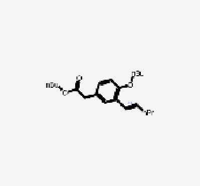 CCC/C=C/c1cc(CC(=O)OCCCC)ccc1OCCCC